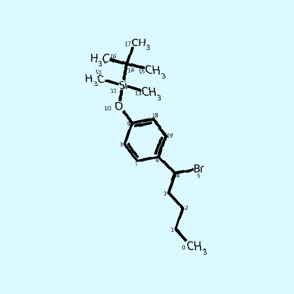 CCCCC(Br)c1ccc(O[Si](C)(C)C(C)(C)C)cc1